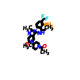 C=CC(Nc1nc(C)nc2cc(=O)n(C3(C)CCN(C(C)=O)CC3)cc12)c1cccc(C(F)F)c1P